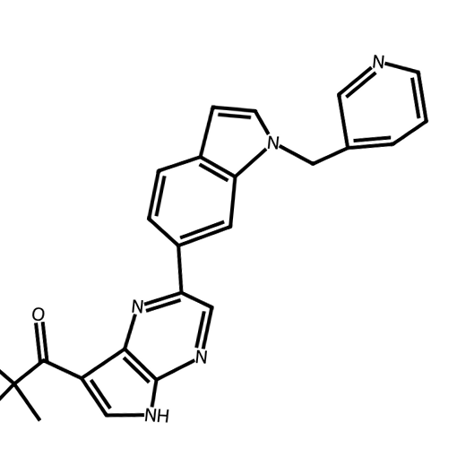 CC(C)(C)C(=O)c1c[nH]c2ncc(-c3ccc4ccn(Cc5cccnc5)c4c3)nc12